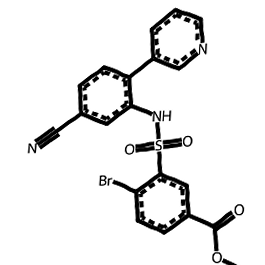 COC(=O)c1ccc(Br)c(S(=O)(=O)Nc2cc(C#N)ccc2-c2cccnc2)c1